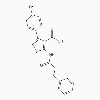 O=C(CSc1ccccc1)Nc1scc(-c2ccc(Br)cc2)c1C(=O)O